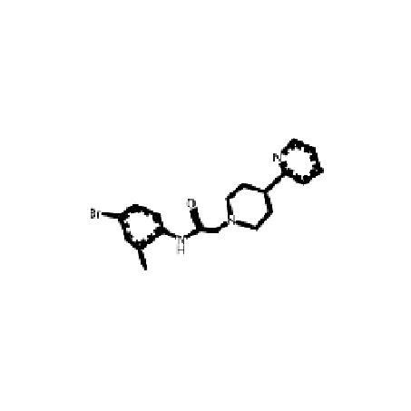 Cc1cc(Br)ccc1NC(=O)CN1CCC(c2ccccn2)CC1